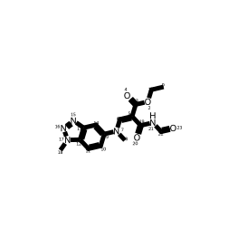 CCOC(=O)/C(=C/N(C)c1ccc2c(c1)nnn2C)C(=O)NC=O